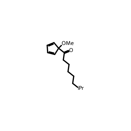 COC1(C(=O)CCCCCC(C)C)C=CC=C1